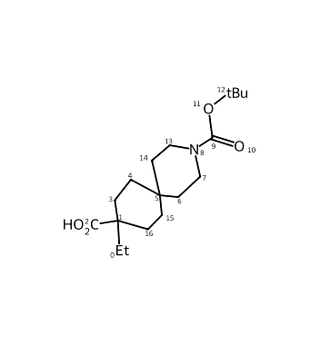 CCC1(C(=O)O)CCC2(CCN(C(=O)OC(C)(C)C)CC2)CC1